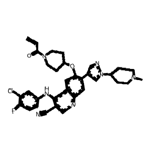 C=CC(=O)N1CCC(Oc2cc3c(Nc4ccc(F)c(Cl)c4)c(C#N)cnc3cc2-c2cnn(C3CCN(C)CC3)c2)CC1